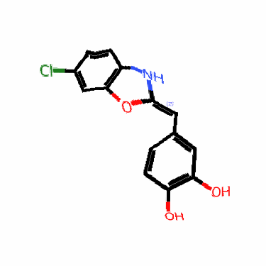 Oc1ccc(/C=C2/Nc3ccc(Cl)cc3O2)cc1O